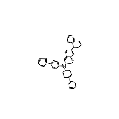 c1ccc(-c2ccc(N(c3ccc(-c4ccccc4)cc3)c3ccc4cc(-c5cccc6ccccc56)ccc4c3)cc2)cc1